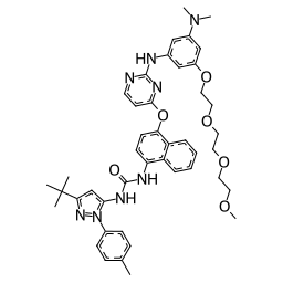 COCCOCCOCCOc1cc(Nc2nccc(Oc3ccc(NC(=O)Nc4cc(C(C)(C)C)nn4-c4ccc(C)cc4)c4ccccc34)n2)cc(N(C)C)c1